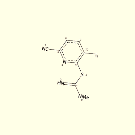 CNC(=N)Sc1nc(C#N)ccc1C